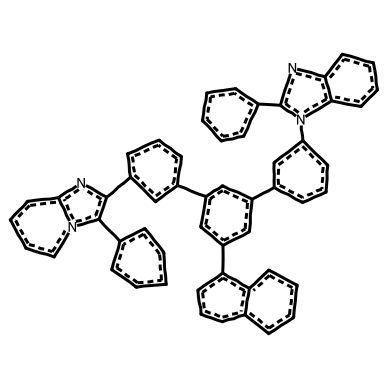 c1ccc(-c2nc3ccccc3n2-c2cccc(-c3cc(-c4cccc(-c5nc6ccccn6c5-c5ccccc5)c4)cc(-c4cccc5ccccc45)c3)c2)cc1